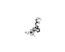 COC(=O)CN1CC2(CCCN2C(=O)OC(C)(C)C)C1=O